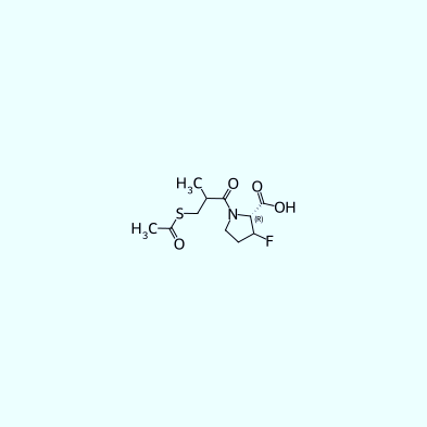 CC(=O)SCC(C)C(=O)N1CCC(F)[C@H]1C(=O)O